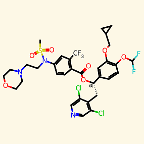 CS(=O)(=O)N(CCN1CCOCC1)c1ccc(C(=O)O[C@@H](Cc2c(Cl)cncc2Cl)c2ccc(OC(F)F)c(OCC3CC3)c2)c(C(F)(F)F)c1